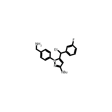 [CH2]CC(c1cccc(F)c1)c1cc(CCCC)nn1-c1ccc(CN)cc1